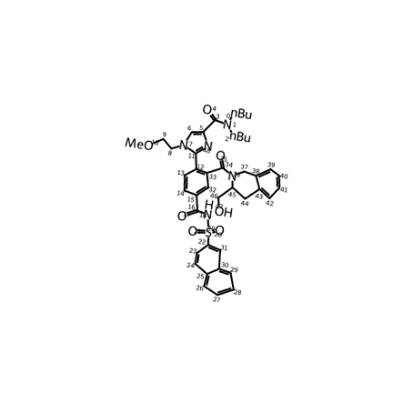 CCCCN(CCCC)C(=O)c1cn(CCOC)c(-c2ccc(C(=O)NS(=O)(=O)c3ccc4ccccc4c3)cc2C(=O)N2Cc3ccccc3CC2CO)n1